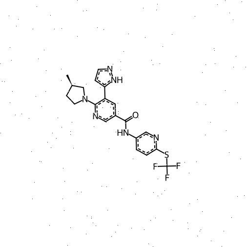 C[C@@H]1CCN(c2ncc(C(=O)Nc3ccc(SC(F)(F)F)nc3)cc2-c2ccn[nH]2)C1